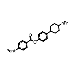 CCCC1CCC(c2ccc(OC(=O)c3ccc(C(C)CCC)cc3)cc2)CC1